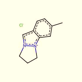 Cc1ccc2cn3[n+](c2c1)CCC3.[Cl-]